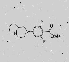 COC(=O)c1c(F)cc(N2CCN3CCCC3C2)cc1F